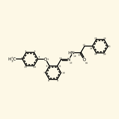 Cc1ccc(Oc2ccccc2C=NNC(=O)Cc2ccccc2)cc1